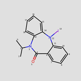 CC(C)N1C(=O)c2ccccc2N(I)c2ccccc21